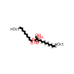 CCCCCCCC/C=C\CCCCCCCC(=O)OC(=O)C(O)(CO)C(=O)CCCCCCC/C=C\CCCCCCCC